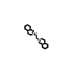 c1ccc2c[n+](CC[n+]3ccc4ccccc4c3)ccc2c1